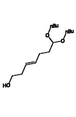 CCCCOC(CC/C=C/CCO)OCCCC